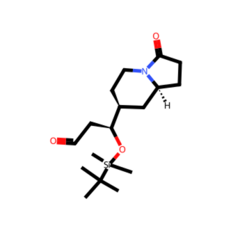 CC(C)(C)[Si](C)(C)O[C@@H](CC=O)[C@H]1CCN2C(=O)CC[C@H]2C1